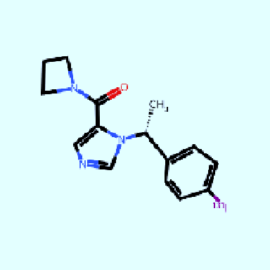 C[C@H](c1ccc([131I])cc1)n1cncc1C(=O)N1CCC1